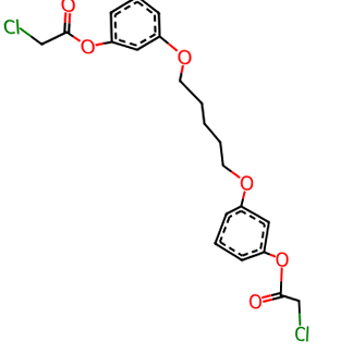 O=C(CCl)Oc1cccc(OCCCCCOc2cccc(OC(=O)CCl)c2)c1